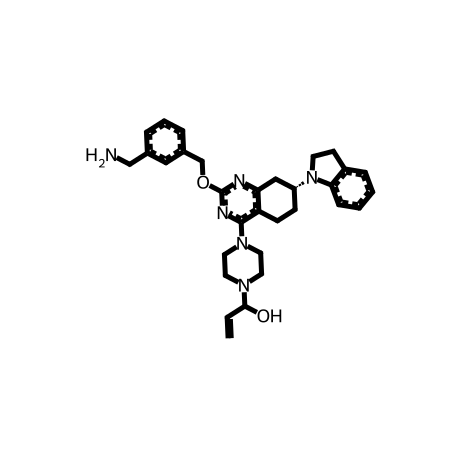 C=CC(O)N1CCN(c2nc(OCc3cccc(CN)c3)nc3c2CC[C@@H](N2CCc4ccccc42)C3)CC1